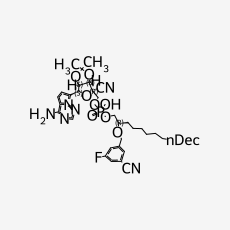 CCCCCCCCCCCCCCCC[C@H](COP(=O)(O)OC[C@@]1(C#N)O[C@@H](c2ccc3c(N)ncnn23)[C@@H]2OC(C)(C)O[C@@H]21)OCc1cc(F)cc(C#N)c1